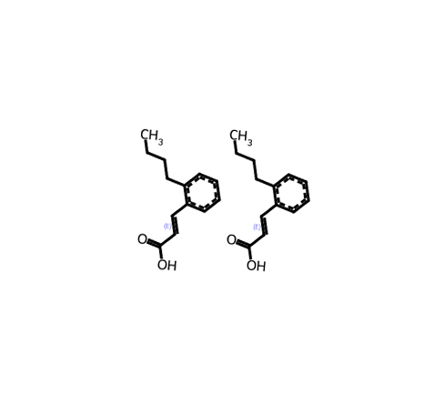 CCCCc1ccccc1/C=C/C(=O)O.CCCCc1ccccc1/C=C/C(=O)O